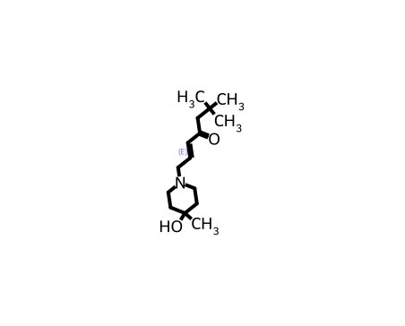 CC(C)(C)CC(=O)/C=C/CN1CCC(C)(O)CC1